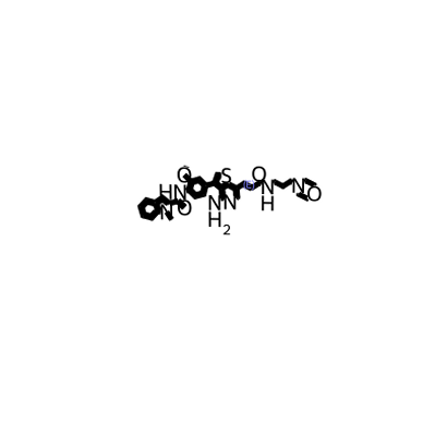 COc1cc(-c2csc3c(/C=C/C(=O)NCCCN4CCOCC4)cnc(N)c23)ccc1NC(=O)c1cc2ccccc2n1C